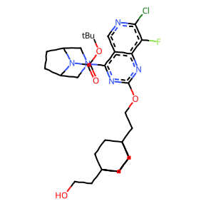 CC(C)(C)OC(=O)N1C2CCC1CN(c1nc(OCCC34CCC(CCO)(CC3)CC4)nc3c(F)c(Cl)ncc13)C2